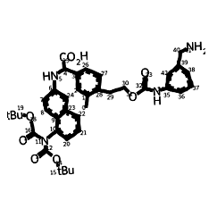 Cc1cc(C(Nc2ccc3c(N(C(=O)OC(C)(C)C)C(=O)OC(C)(C)C)cccc3c2)C(=O)O)ccc1CCOC(=O)Nc1cccc(CN)c1